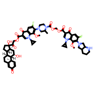 COc1c(N2CC3CCCNC3C2)c(F)cc2c(=O)c(C(=O)OCOC(=O)N3CCN(c4c(F)cc5c(=O)c(C(=O)OCC(=O)[C@@]6(O)CC[C@H]7[C@@H]8CCC9=CC(=O)C=C[C@]9(C)[C@H]8[C@@H](O)C[C@@]76C)cn(C6CC6)c5c4OC)CC3C)cn(C3CC3)c12